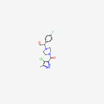 Cc1[nH]nc(C(=O)N2CCN(C(C=O)c3ccc(F)cc3)CC2)c1Cl